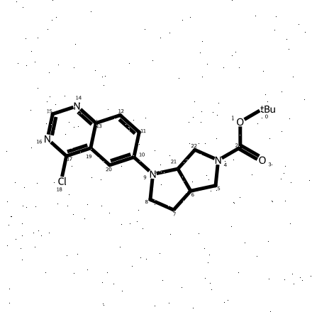 CC(C)(C)OC(=O)N1CC2CCN(c3ccc4ncnc(Cl)c4c3)C2C1